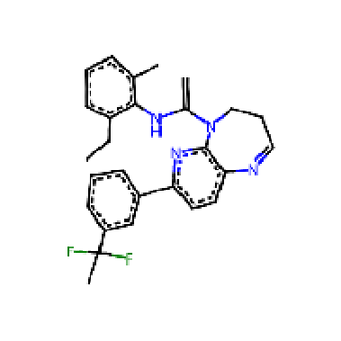 C=C(Nc1c(C)cccc1CC)N1CCC=Nc2ccc(-c3cccc(C(C)(F)F)c3)nc21